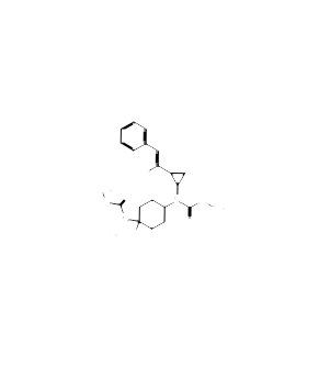 CC/C(=C\c1ccccc1)C1CC1N(C(=O)OC(C)(C)C)C1CCC(NC(=O)OC(C)(C)C)(C(=O)O)CC1